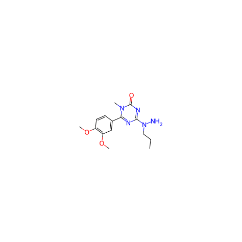 CCCN(N)c1nc(-c2ccc(OC)c(OC)c2)n(C)c(=O)n1